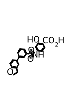 O=C(O)c1ccc(NS(=O)(=O)c2cccc(-c3ccc4c(c3)CCO4)c2)cc1O